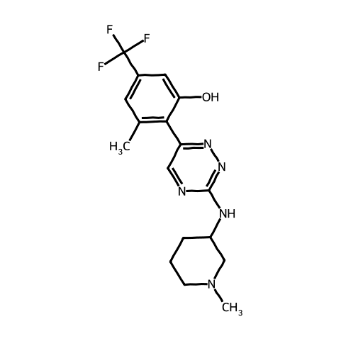 Cc1cc(C(F)(F)F)cc(O)c1-c1cnc(NC2CCCN(C)C2)nn1